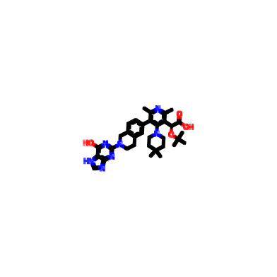 Cc1nc(C)c([C@H](OC(C)(C)C)C(=O)O)c(N2CCC(C)(C)CC2)c1-c1ccc2c(c1)CCN(c1nc(O)c3[nH]cnc3n1)C2